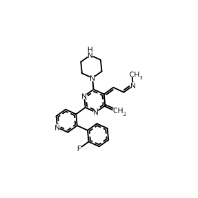 C=c1nc(-c2ccncc2-c2ccccc2F)nc(N2CCNCC2)/c1=C/C=N\C